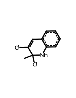 CC1(Cl)Nc2ccccc2C=C1Cl